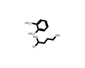 CCC(O)CCCO.O=C(O)c1ccccc1C(=O)O